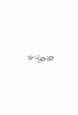 Cc1nnc(SCC(=O)Nc2ccc(-c3nc4ccccc4s3)cc2)s1